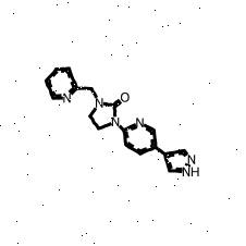 O=C1N(Cc2ccccn2)CCN1c1ccc(-c2cn[nH]c2)cn1